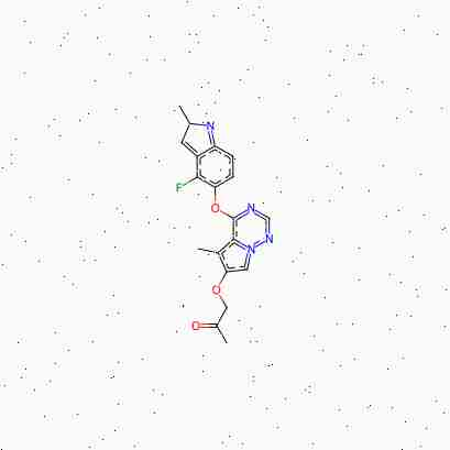 CC(=O)COc1cn2ncnc(Oc3ccc4c(c3F)=CC(C)N=4)c2c1C